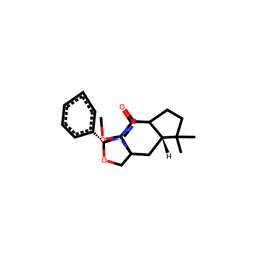 COC1=NC23CCC(C)(C)[C@@H]2CC12CO[C@H](c1ccccc1)N2C3=O